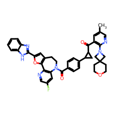 Cc1cnc(N2CC3(CCOCC3)C2)c(C(=O)C2CC2c2ccc(C(=O)N3CCc4cc(-c5nc6ccccc6[nH]5)oc4-c4ncc(F)cc43)cc2)c1